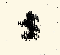 CC(C)C1=C2[C@H]3CC[C@@H]4[C@@]5(C)CC[C@H](OC(=O)CC(C)(C)C(=O)OC(C)(C)C)C(C)(C)C5CC[C@@]4(C)[C@]3(C)CC[C@@]2([C@@H](O)CN(CCN(C)C)Cc2ccc(Cl)cc2)CC1=O